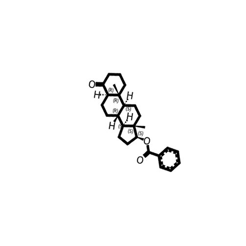 C[C@]12CCCC(=O)[C@@H]1CC[C@@H]1[C@@H]2CC[C@]2(C)[C@@H](OC(=O)c3ccccc3)CC[C@@H]12